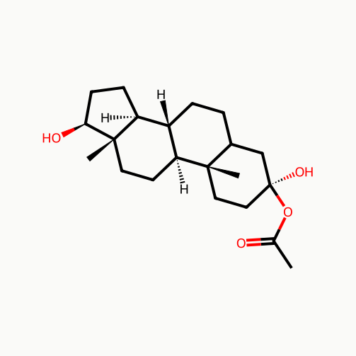 CC(=O)O[C@@]1(O)CC[C@@]2(C)C(CC[C@H]3[C@@H]4CC[C@H](O)[C@@]4(C)CC[C@@H]32)C1